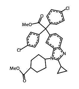 COC(=O)C1CCC(n2c(C3CC3)nc3ccc(C(C(=O)OC)(c4ccc(Cl)cc4)c4ccc(Cl)cc4)cc32)CC1